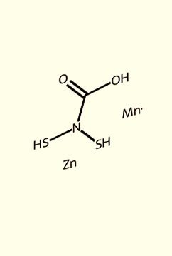 O=C(O)N(S)S.[Mn].[Zn]